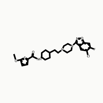 COc1ccc(C(=O)NC2CCC(CCN3CCN(c4noc5cc(F)c(Cl)cc45)CC3)CC2)s1